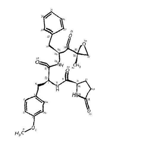 COc1ccc(C[C@H](NC(=O)[C@H]2CCC(=O)N2)C(=O)N[C@@H](Cc2ccccc2)C(=O)[C@@]2(C)CO2)cc1